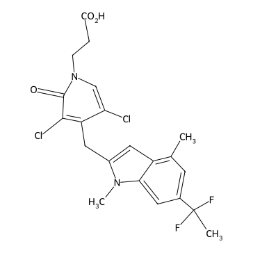 Cc1cc(C(C)(F)F)cc2c1cc(Cc1c(Cl)cn(CCC(=O)O)c(=O)c1Cl)n2C